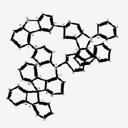 c1ccc(-c2ccc(N(c3ccc(-c4cccc5oc6ccc(-c7ccc8c(c7)c7ccccc7n8-c7ccccc7)cc6c45)cc3)c3cccc4c3-c3ccccc3C43c4ccccc4-c4ccccc43)cc2)cc1